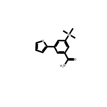 [CH3][Sn]([CH3])([CH3])[c]1cc(C(N)=O)cc(-c2cccs2)c1